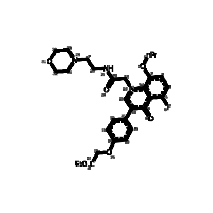 CCCOc1ccc(F)c2c(=O)c(-c3ccc(OCC(=O)OCC)cc3)cn(CC(=O)NCCN3CCOCC3)c12